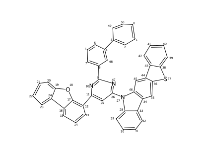 c1ccc(-c2cccc(-c3nc(-c4cccc5c4oc4ccccc45)cc(-n4c5ccccc5c5cc6sc7ccccc7c6cc54)n3)c2)cc1